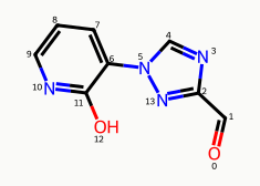 O=Cc1ncn(-c2cccnc2O)n1